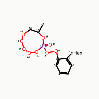 CCCCCCc1ccccc1OOP1(=O)OOOOOCC(C)O1